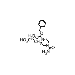 C[C@H](N)C(=O)O.NC(=O)N1CCN(C(=O)OCc2ccccc2)CC1